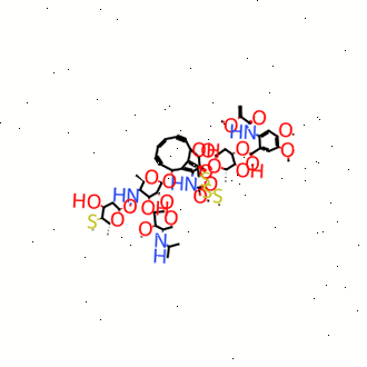 C=C(OC)C(=O)Nc1cc(OC)c(OC)cc1C(=O)O[C@H]1C[C@H](O[C@@H]2C(=O)C(NC(=O)OC)=C3/C(=C\CSSSC)[C@]2(O)C#C/C=C\C#C[C@@H]3O[C@@H]2O[C@H](C)[C@@H](NO[C@H]3C[C@H](O)[C@H](SC)[C@@H](C)O3)[C@H](O)[C@H]2O[C@H]2C[C@H](OC)[C@@H](NC(C)C)CO2)O[C@@H](C)[C@H]1O